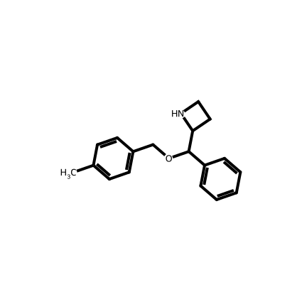 Cc1ccc(COC(c2ccccc2)C2CCN2)cc1